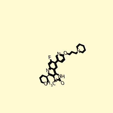 Cn1c(=O)[nH]c2c3cc(-c4ccc(OCCCN5CCCCC5)nc4)c(F)cc3nc([C@@H]3CCCOC3)c21